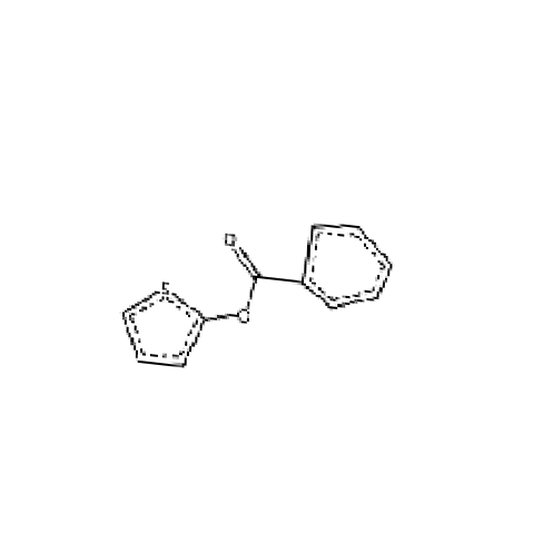 O=C(Oc1cccs1)c1ccccc1